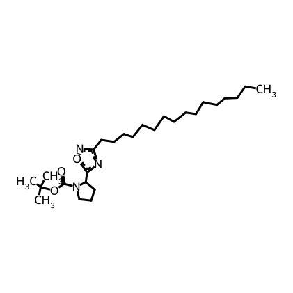 CCCCCCCCCCCCCCCCc1noc(C2CCCN2C(=O)OC(C)(C)C)n1